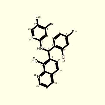 Cc1cc(NC(c2ccc(F)cc2Cl)c2ccc3cccnc3c2O)ncc1F